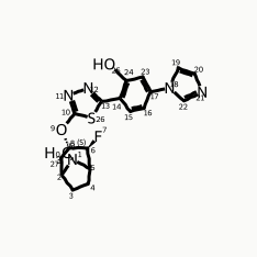 CN1C2CCC1[C@H](F)[C@@H](Oc1nnc(-c3ccc(-n4ccnc4)cc3O)s1)C2